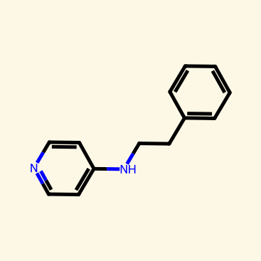 c1ccc(CCNc2ccncc2)cc1